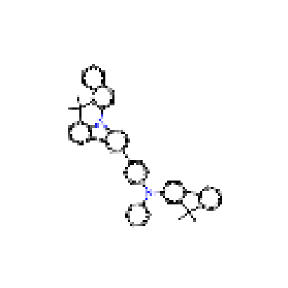 CC1(C)c2ccccc2-c2ccc(N(c3ccccc3)c3ccc(-c4ccc5c(c4)c4cccc6c4n5-c4ccc5ccccc5c4C6(C)C)cc3)cc21